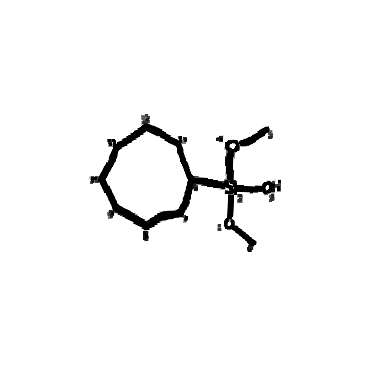 CO[Si](O)(OC)C1CCCCCCC1